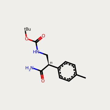 Cc1ccc([C@H](CNC(=O)OC(C)(C)C)C(N)=O)cc1